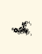 Cc1nsc(-c2nc(NC(=O)C(F)(F)F)c3n2CCN(C(=O)c2ccc(F)cc2)C3C)n1